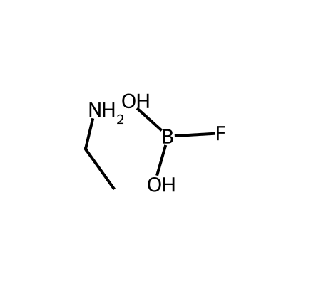 CCN.OB(O)F